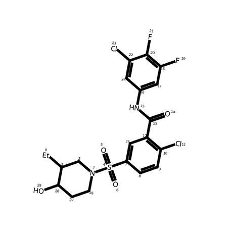 CCC1CN(S(=O)(=O)c2ccc(Cl)c(C(=O)Nc3cc(F)c(F)c(Cl)c3)c2)CCC1O